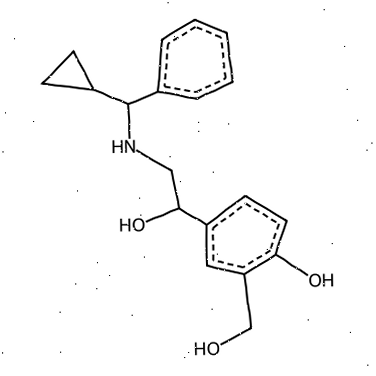 OCc1cc(C(O)CNC(c2ccccc2)C2CC2)ccc1O